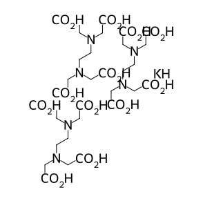 O=C(O)CN(CCN(CC(=O)O)CC(=O)O)CC(=O)O.O=C(O)CN(CCN(CC(=O)O)CC(=O)O)CC(=O)O.O=C(O)CN(CCN(CC(=O)O)CC(=O)O)CC(=O)O.[KH]